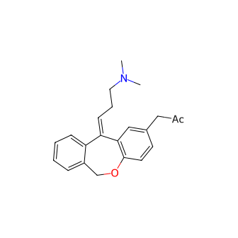 CC(=O)Cc1ccc2c(c1)/C(=C\CCN(C)C)c1ccccc1CO2